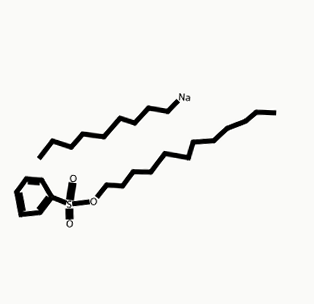 CCCCCCCCCCCCOS(=O)(=O)c1ccccc1.CCCCCCCC[CH2][Na]